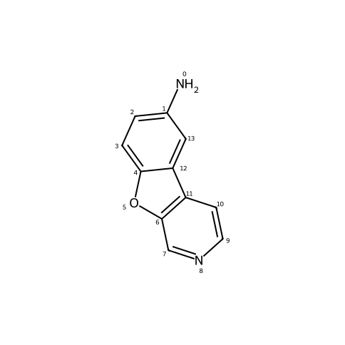 Nc1ccc2oc3cnccc3c2c1